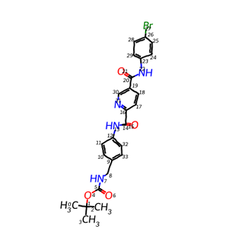 CC(C)(C)OC(=O)NCc1ccc(NC(=O)c2ccc(C(=O)Nc3ccc(Br)cc3)cn2)cc1